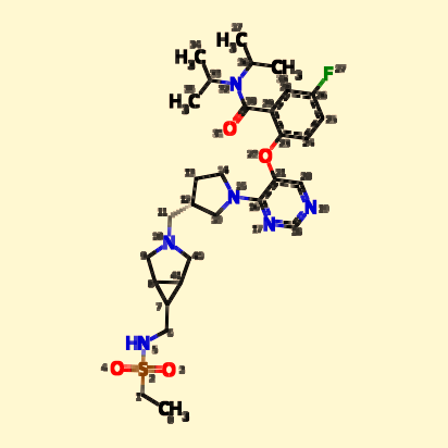 CCS(=O)(=O)NCC1C2CN(C[C@@H]3CCN(c4ncncc4Oc4ccc(F)cc4C(=O)N(C(C)C)C(C)C)C3)CC12